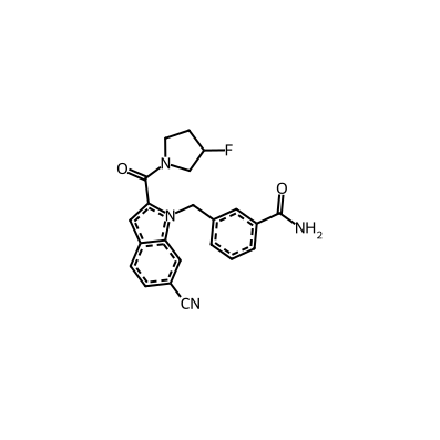 N#Cc1ccc2cc(C(=O)N3CCC(F)C3)n(Cc3cccc(C(N)=O)c3)c2c1